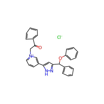 O=C(C[n+]1cccc(-c2cc(C(Oc3ccccc3)c3ccccc3)n[nH]2)c1)c1ccccc1.[Cl-]